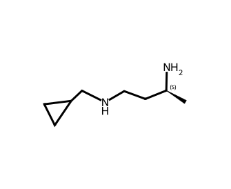 C[C@H](N)CCNCC1CC1